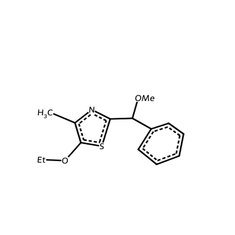 CCOc1sc(C(OC)c2ccccc2)nc1C